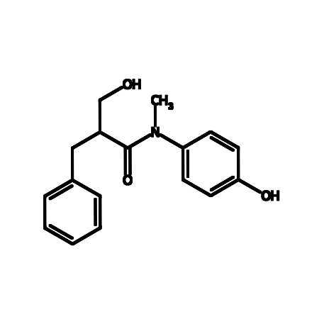 CN(C(=O)C(CO)Cc1ccccc1)c1ccc(O)cc1